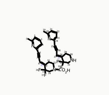 Cc1cccc(C#C/C=C2\CCN(C(=O)O)CC2(F)F)n1.Cc1cccc(C#C/C=C2\CCNCC2(F)F)n1